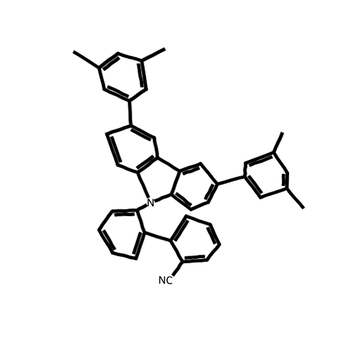 Cc1cc(C)cc(-c2ccc3c(c2)c2cc(-c4cc(C)cc(C)c4)ccc2n3-c2ccccc2-c2ccccc2C#N)c1